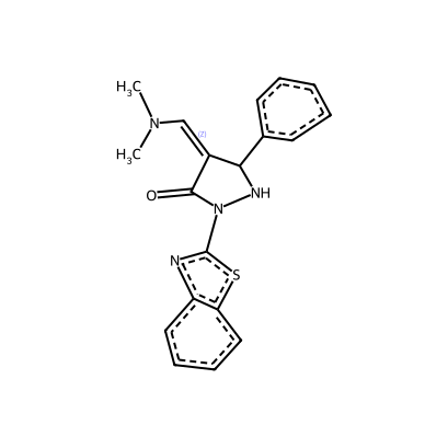 CN(C)/C=C1\C(=O)N(c2nc3ccccc3s2)NC1c1ccccc1